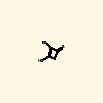 O=C1CC(O)=C1O